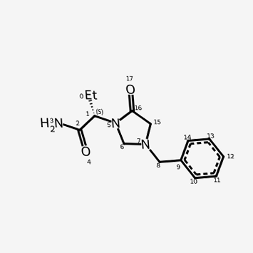 CC[C@@H](C(N)=O)N1CN(Cc2ccccc2)CC1=O